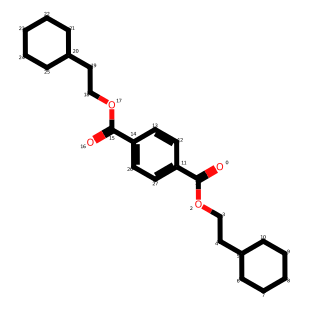 O=C(OCCC1CCCCC1)c1ccc(C(=O)OCCC2CCCCC2)cc1